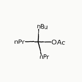 CCCCC(CCC)(CCC)OC(C)=O